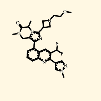 COCCN1CC(c2nc(-c3cccc4nc(-c5cnn(C)c5)c(C(F)F)cc34)c3n2C(C)C(=O)N(C)C3)C1